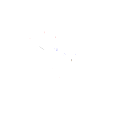 CCNC(=S)NC(CNC1C=CC(O)C(O)C1O)C(O)CC(O)CC